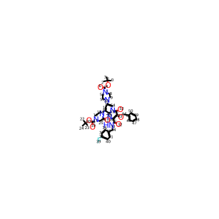 CC(C)(C)OC(=O)N1CCN(c2cc(N3CCN(C(=O)OC(C)(C)C)CC3=O)c3nc(C(=O)NCc4ccc(F)cc4)c(OCc4ccccc4)c(=O)n3c2)CC1